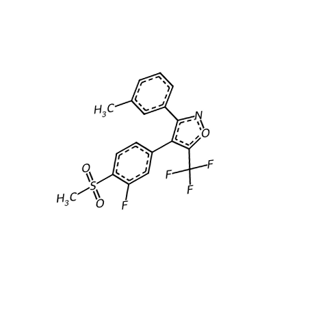 Cc1cccc(-c2noc(C(F)(F)F)c2-c2ccc(S(C)(=O)=O)c(F)c2)c1